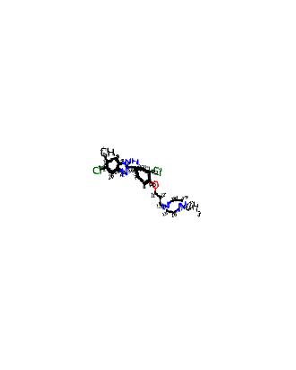 Cc1cc2[nH]c(-c3ccc(OCCCN4CCN(C)CC4)c(Cl)c3)nc2cc1Cl